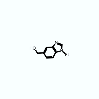 CCn1cnc2cc(CO)ccc21